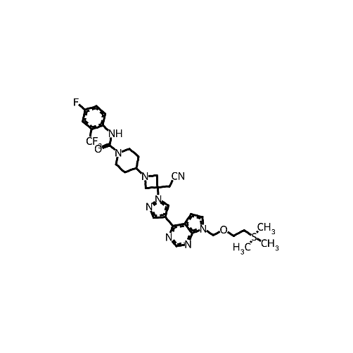 CS(C)(C)CCOCn1ccc2c(-c3cnn(C4(CC#N)CN(C5CCN(C(=O)Nc6ccc(F)cc6C(F)(F)F)CC5)C4)c3)ncnc21